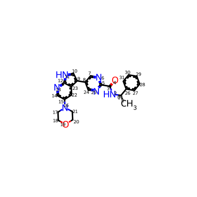 C[C@@H](NC(=O)c1ncc(-c2c[nH]c3ncc(N4CCOCC4)cc23)cn1)c1ccccc1